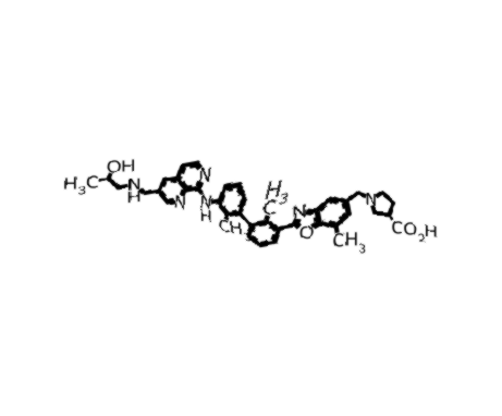 Cc1c(Nc2nccc3cc(CNC[C@@H](C)O)cnc23)cccc1-c1cccc(-c2nc3cc(CN4CC[C@@H](C(=O)O)C4)cc(C)c3o2)c1C